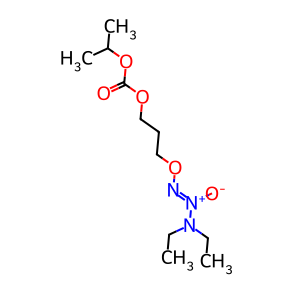 CCN(CC)/[N+]([O-])=N/OCCCOC(=O)OC(C)C